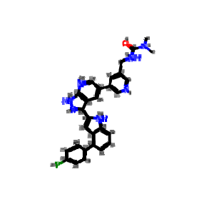 CN(C)C(=O)NCc1cncc(-c2cnc3[nH]nc(-c4cc5c(-c6ccc(F)cc6)cccc5[nH]4)c3c2)c1